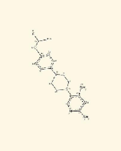 Nc1ncc(N2CCN(c3cnc(OC(F)F)nc3)CC2)c(N)n1